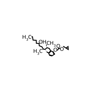 CCCCC[C@H](O)CC[C@@H](C)[C@H]1Cc2cccc(OCC(=O)OCC3CC3)c2C[C@H]1CC